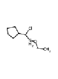 C[CH]O[SiH2]C(Cl)C1CCCC1